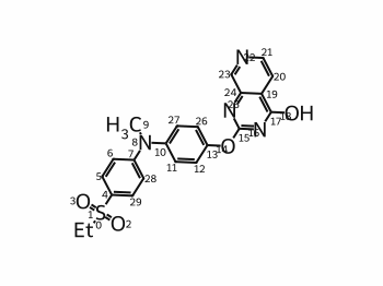 CCS(=O)(=O)c1ccc(N(C)c2ccc(Oc3nc(O)c4ccncc4n3)cc2)cc1